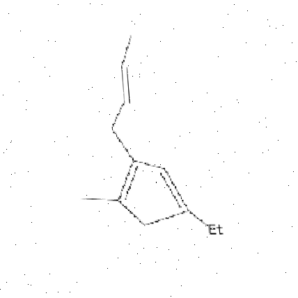 CC=CCC1=C(C)CC(CC)=C1